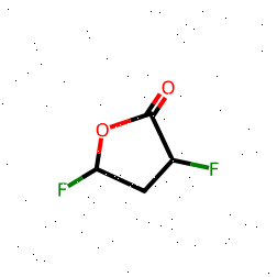 O=C1OC(F)CC1F